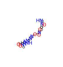 CC(=O)c1c(C)c2cnc(Nc3ccc(N4CCN(CCOCCC(=O)N5CC6(CCc7cc8c(cc7O6)CN(C6CCCNC6)C8=O)C5)CC4)cn3)nc2n(C2CCCC2)c1=O